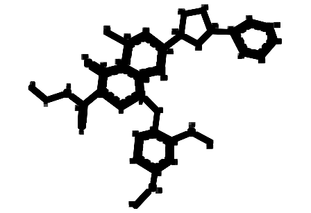 CCOC(=O)c1cn(Cc2ccc(OC)cc2OC)c2nc(N3CCC(c4cccnc4)C3)cc(C)c2c1=O